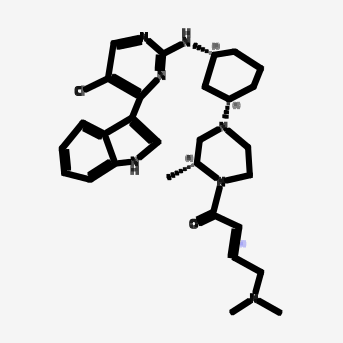 C[C@@H]1CN([C@H]2CCC[C@@H](Nc3ncc(Cl)c(-c4c[nH]c5ccccc45)n3)C2)CCN1C(=O)/C=C/CN(C)C